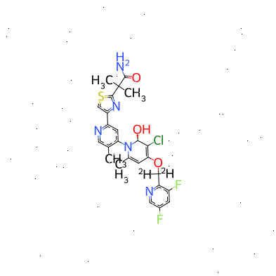 [2H]C([2H])(OC1=C(Cl)[C@H](O)N(c2cc(-c3csc(C(C)(C)C(N)=O)n3)ncc2C)C(C)=C1)c1ncc(F)cc1F